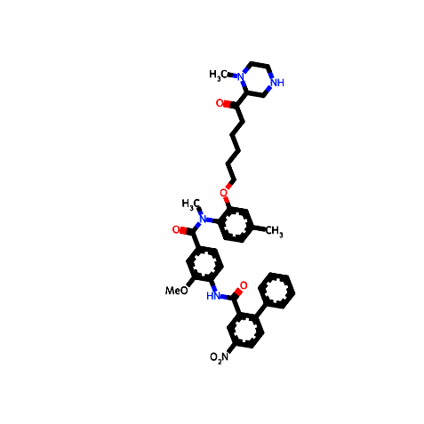 COc1cc(C(=O)N(C)c2ccc(C)cc2OCCCCCC(=O)C2CNCCN2C)ccc1NC(=O)c1cc([N+](=O)[O-])ccc1-c1ccccc1